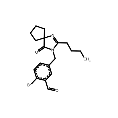 CCCCC1=NC2(CCCC2)C(=O)N1Cc1ccc(Br)c(C=O)c1